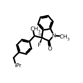 CC(C)Cc1ccc(C(C)[C@@]2(F)C(=O)N(C)c3ccccc32)cc1